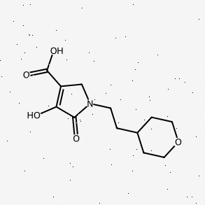 O=C(O)C1=C(O)C(=O)N(CCC2CCOCC2)C1